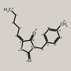 CCCCC=C1SC(=O)N(Cc2ccc(C)cc2)C1=O